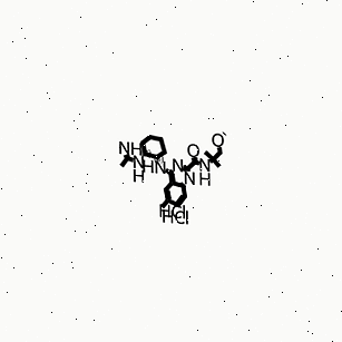 COCC(C)(C)NC(=O)c1nc(N[C@H]2CCCC[C@H]2NC(C)=N)c2cc(C)ccc2n1.Cl.Cl